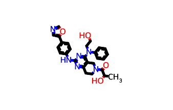 CC(O)C(=O)N1CCc2nc(Nc3ccc(-c4cnco4)cc3)nc(N(CCO)c3ccccc3)c2C1